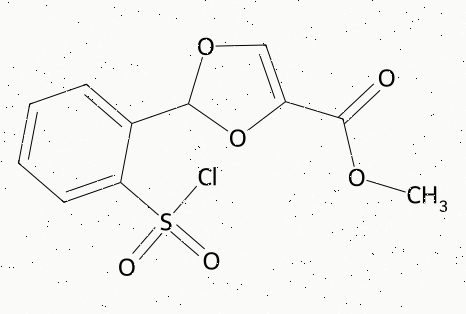 COC(=O)C1=COC(c2ccccc2S(=O)(=O)Cl)O1